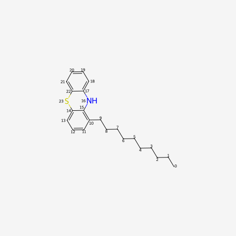 CCCCCCCCCCc1cccc2c1Nc1ccccc1S2